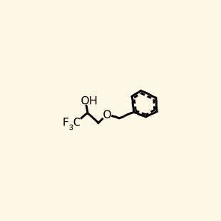 OC(COCc1ccccc1)C(F)(F)F